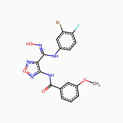 COc1cccc(C(=O)Nc2nonc2/C(=N\O)Nc2ccc(F)c(Br)c2)c1